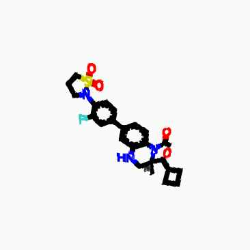 CC(=O)N1c2ccc(-c3ccc(N4CCCS4(=O)=O)c(F)c3)cc2NC[C@@]1(C)C(=O)C1CCC1